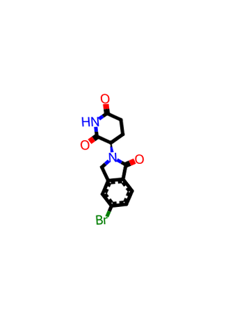 O=C1CC[C@@H](N2Cc3cc(Br)ccc3C2=O)C(=O)N1